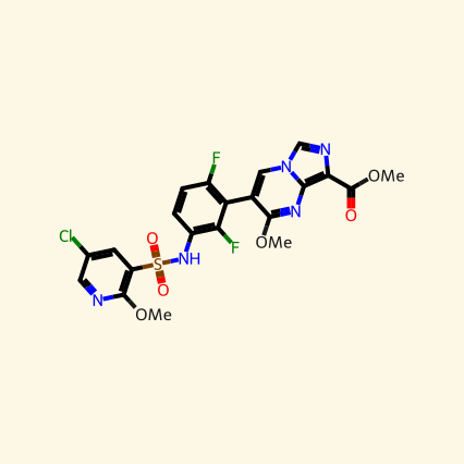 COC(=O)c1ncn2cc(-c3c(F)ccc(NS(=O)(=O)c4cc(Cl)cnc4OC)c3F)c(OC)nc12